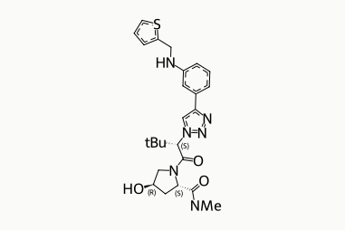 CNC(=O)[C@@H]1C[C@@H](O)CN1C(=O)[C@@H](n1cc(-c2cccc(NCc3cccs3)c2)nn1)C(C)(C)C